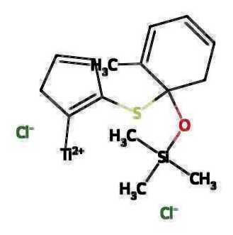 CC1=CC=CCC1(O[Si](C)(C)C)SC1=[C]([Ti+2])CC=C1.[Cl-].[Cl-]